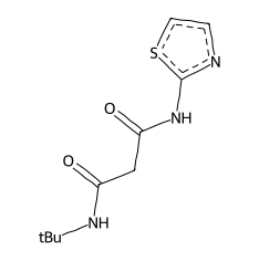 CC(C)(C)NC(=O)CC(=O)Nc1nccs1